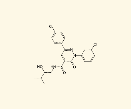 CC(C)C(O)CNC(=O)c1cc(-c2ccc(Cl)cc2)nn(-c2cccc(Cl)c2)c1=O